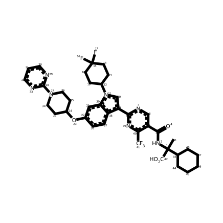 CC(NC(=O)c1cnc(-c2cn(C3CCC(F)(F)CC3)c3cc(OC4CCN(c5ncccn5)CC4)ccc23)nc1C(F)(F)F)(C(=O)O)C1CCCCC1